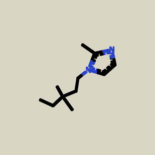 CCC(C)(C)CCn1ccnc1C